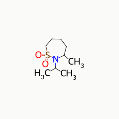 CC(C)N1C(C)CCCCS1(=O)=O